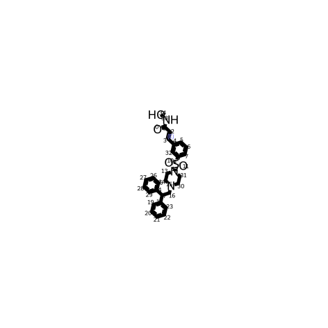 O=C(/C=C/c1cccc(S(=O)(=O)N2CCN(CC(c3ccccc3)c3ccccc3)CC2)c1)NO